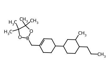 CCCC1CCC(C2CC=C(CB3OC(C)(C)C(C)(C)O3)CC2)CC1C